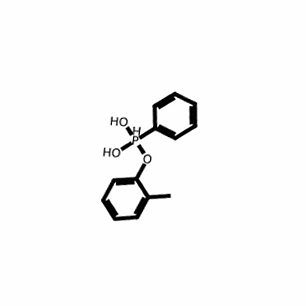 Cc1ccccc1O[PH](O)(O)c1ccccc1